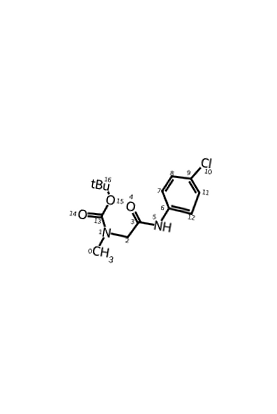 CN(CC(=O)Nc1ccc(Cl)cc1)C(=O)OC(C)(C)C